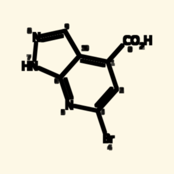 O=C(O)c1cc(Br)nc2[nH]ncc12